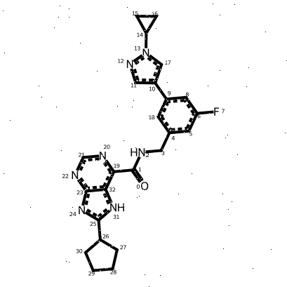 O=C(NCc1cc(F)cc(-c2cnn(C3CC3)c2)c1)c1ncnc2nc(C3CCCC3)[nH]c12